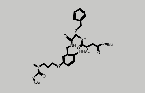 CC(=O)N[C@@H](CC(=O)OC(C)(C)C)C(=O)N[C@@H](CCc1ccccc1)C(=O)NCc1cc(OCCCN(C)C(=O)OC(C)(C)C)ccc1C